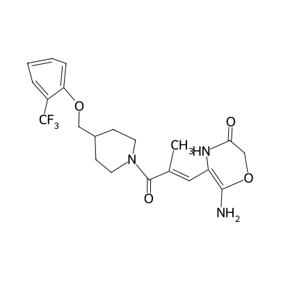 C/C(=C\C1=C(N)OCC(=O)N1)C(=O)N1CCC(COc2ccccc2C(F)(F)F)CC1